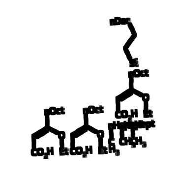 CCCCCCCC.CCCCCCCC.CCCCCCCC.CCCCCCCCC(=CC(=O)O)OCC.CCCCCCCCC(=CC(=O)O)OCC.CCCCCCCCC(=CC(=O)O)OCC.CCCCCCCCCCCC[Si]